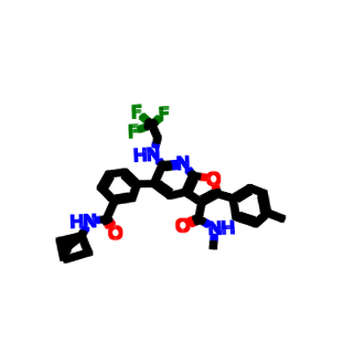 CNC(=O)c1c(-c2ccc(C)cc2)oc2nc(NCC(F)(F)F)c(-c3cccc(C(=O)NC45CC(C4)C5)c3)cc12